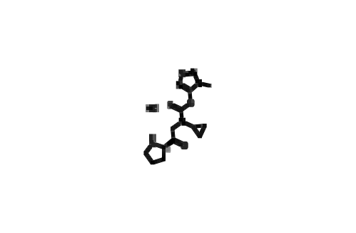 Cl.Cn1nnnc1OC(=S)N(CC(=O)[C@H]1CCCN1)C1CC1